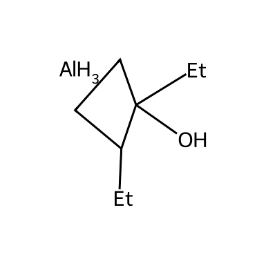 CCC1CCC1(O)CC.[AlH3]